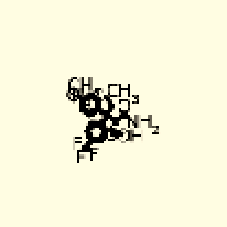 COc1ccc(C(CC(C)C)(c2ccc(C(F)(F)F)cc2)C(C(N)=O)S(=O)O)cc1